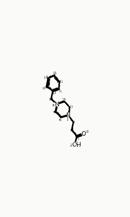 O=C(O)CCN1CCN(Cc2ccccc2)CC1